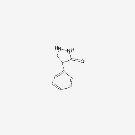 O=C1NNCC1c1ccccc1